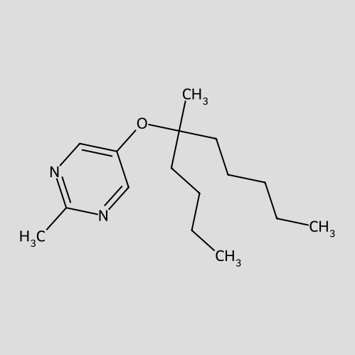 CCCCCC(C)(CCCC)Oc1cnc(C)nc1